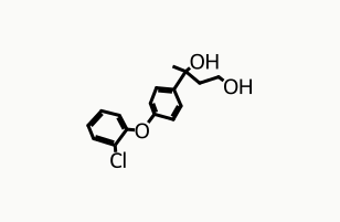 CC(O)(CCO)c1ccc(Oc2ccccc2Cl)cc1